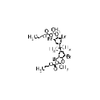 C=CCOC(=O)OC(C)Oc1c(Br)cc(C(C)(C)c2cc(Br)c(OC(C)OC(=O)OCC=C)c(Br)c2)cc1Br